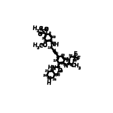 COc1cc(S(C)(=O)=O)ccc1NCC#Cc1cc(C(=O)N[C@H]2CCNC[C@@H]2F)c2nc(C)n(CC(F)(F)F)c2c1